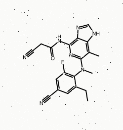 CCc1cc(C#N)cc(F)c1N(C)c1nc(NC(=O)CC#N)c2nc[nH]c2c1C